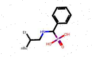 CCCCC(CC)CNC(c1ccccc1)P(=O)(O)O